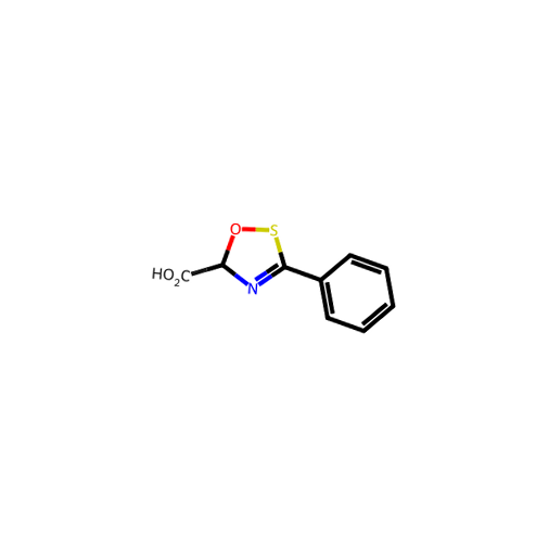 O=C(O)C1N=C(c2ccccc2)SO1